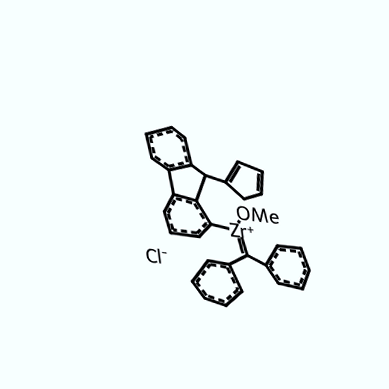 C[O][Zr+](=[C](c1ccccc1)c1ccccc1)[c]1cccc2c1C(C1=CC=CC1)c1ccccc1-2.[Cl-]